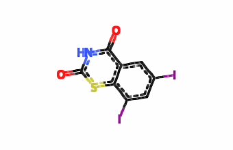 O=c1[nH]c(=O)c2cc(I)cc(I)c2s1